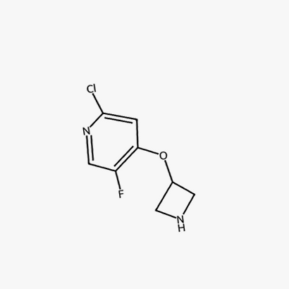 Fc1cnc(Cl)cc1OC1CNC1